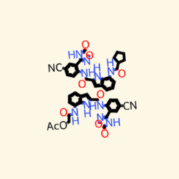 CC(=O)OCC(=O)Nc1cccc2cc(C(=O)Nc3ccc(C#N)cc3-c3noc(=O)[nH]3)[nH]c12.N#Cc1ccc(NC(=O)c2cc3cccc(NC(=O)C4CCCC4)c3[nH]2)c(-c2noc(=O)[nH]2)c1